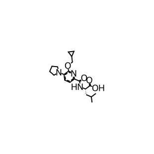 CC(C)C[C@H](NC(=O)c1ccc(N2CCCC2)c(OCC2CC2)n1)C(=O)O